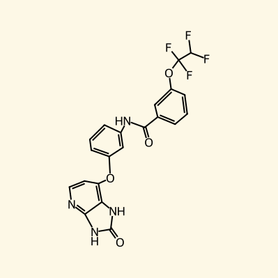 O=C(Nc1cccc(Oc2ccnc3[nH]c(=O)[nH]c23)c1)c1cccc(OC(F)(F)C(F)F)c1